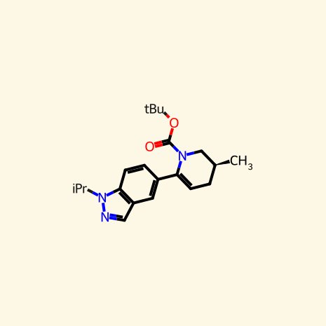 CC(C)n1ncc2cc(C3=CC[C@H](C)CN3C(=O)OC(C)(C)C)ccc21